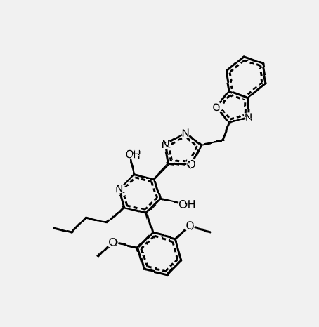 CCCCc1nc(O)c(-c2nnc(Cc3nc4ccccc4o3)o2)c(O)c1-c1c(OC)cccc1OC